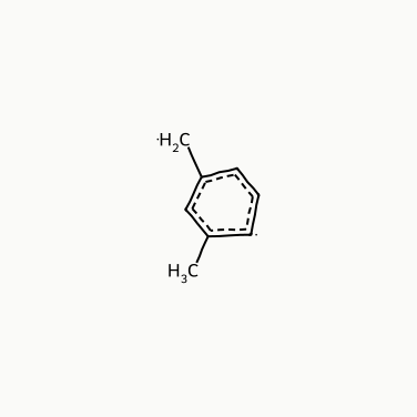 [CH2]c1cc[c]c(C)c1